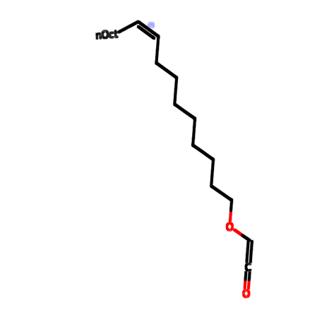 CCCCCCCC/C=C\CCCCCCCCOC=C=O